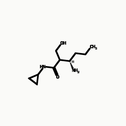 CCC[C@H](N)C(CO)C(=O)NC1CC1